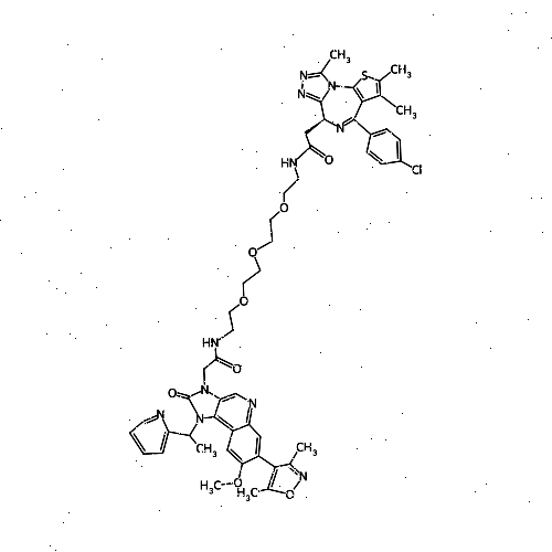 COc1cc2c(cc1-c1c(C)noc1C)ncc1c2n(C(C)c2ccccn2)c(=O)n1CC(=O)NCCOCCOCCOCCNC(=O)C[C@@H]1N=C(c2ccc(Cl)cc2)c2c(sc(C)c2C)-n2c(C)nnc21